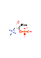 CCCCCCC(C[N+](C)(C)C)OP(=O)(O)O.O